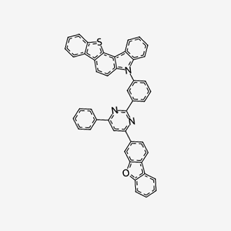 c1ccc(-c2cc(-c3ccc4c(c3)oc3ccccc34)nc(-c3cccc(-n4c5ccccc5c5c6sc7ccccc7c6ccc54)c3)n2)cc1